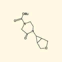 CC(C)COC(=O)N1CCN(C2C3COCC32)C(=O)C1